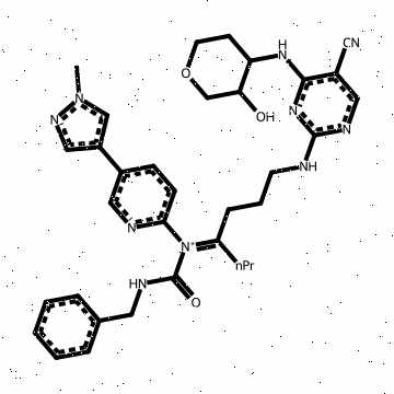 CCC/C(CCCNc1ncc(C#N)c(NC2CCOCC2O)n1)=[N+](\C(=O)NCc1ccccc1)c1ccc(-c2cnn(C)c2)cn1